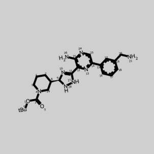 CC(C)(C)OC(=O)N1CCCC([C@H]2N=C(c3nc(-c4cccc(CN)c4)cnc3N)NN2)C1